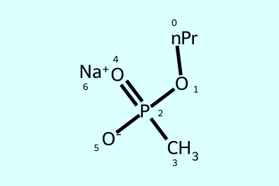 CCCOP(C)(=O)[O-].[Na+]